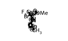 COC(=O)Cn1nc(C(F)(F)F)c(Br)c1-c1nnc(-c2cccc(S(C)(=O)=O)c2)o1